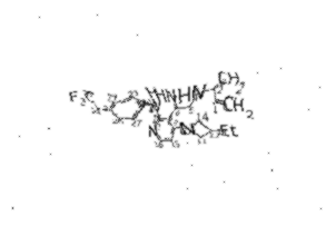 C=CC(=C)NCC(=N)c1c(N2CC(CC)C2)ccnc1Nc1ccc(CC(F)(F)F)cc1